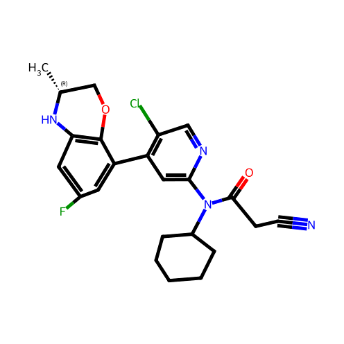 C[C@@H]1COc2c(cc(F)cc2-c2cc(N(C(=O)CC#N)C3CCCCC3)ncc2Cl)N1